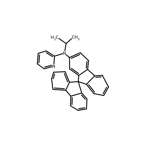 CC(C)N(c1ccc2c(c1)C1(c3ccccc3-c3ccccc31)c1ccccc1-2)c1ccccn1